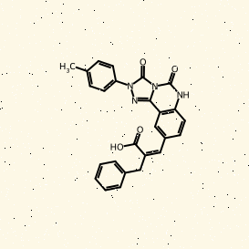 Cc1ccc(-n2nc3c4cc(C=C(Cc5ccccc5)C(=O)O)ccc4[nH]c(=O)n3c2=O)cc1